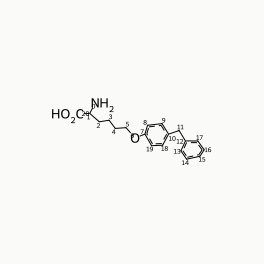 NC(CCCCOc1ccc(Cc2ccccc2)cc1)C(=O)O